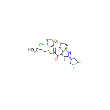 Cc1c(N2C[C@@H](F)[C@@H](F)C2)nc2ccc(Br)cc2c1C(=O)NCC(CCC(=O)O)c1ccccc1Cl